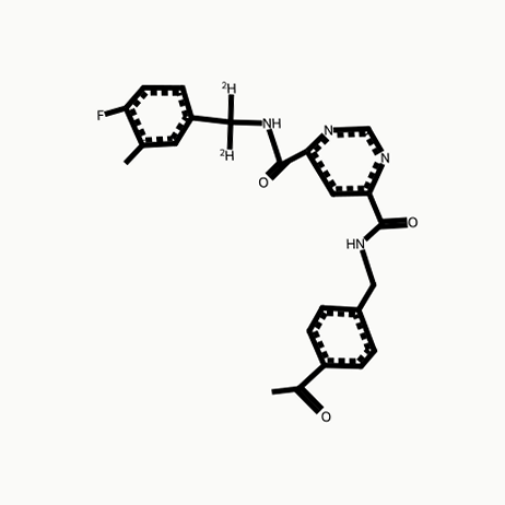 [2H]C([2H])(NC(=O)c1cc(C(=O)NCc2ccc(C(C)=O)cc2)ncn1)c1ccc(F)c(C)c1